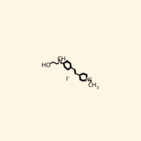 CC[n+]1ccc(/C=C/c2ccc(N(C)CCO)cc2)cc1.[I-]